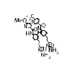 COc1ccc(C(=O)Nc2ccc(CCC3COC(N)=N3)cc2)cn1.Cc1ccc(C(=O)Nc2ccc(CCC3COC(N)=N3)cc2)cn1